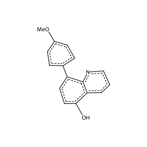 COc1ccc(-c2ccc(O)c3cccnc23)cc1